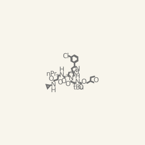 CCC[C@H](NC(=O)[C@@H]1C[C@]2(CC(c3cccc(Cl)c3)=NO2)CN1C(=O)[C@@H](NC(=O)OCC1CCOC1)C(C)(C)C)C(=O)C(=O)NC1CC1